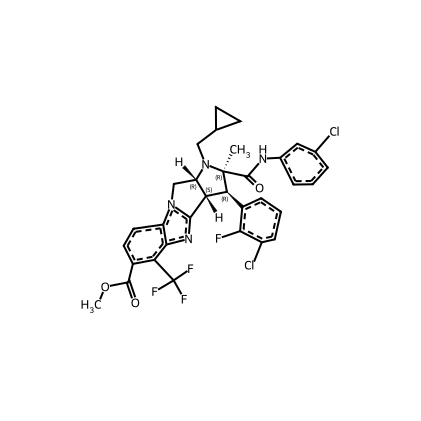 COC(=O)c1ccc2c(nc3n2C[C@H]2[C@@H]3[C@H](c3cccc(Cl)c3F)[C@](C)(C(=O)Nc3cccc(Cl)c3)N2CC2CC2)c1C(F)(F)F